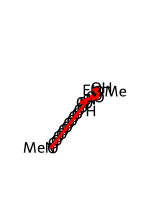 CCC(CO)OC(COC(=O)CCCC(=O)NCCSC1CC(=O)N(CCOCCOCCOCCOCCOCCOCCOCCOCCOCCOCCOCCOCCC(=O)NC)C1=O)OC